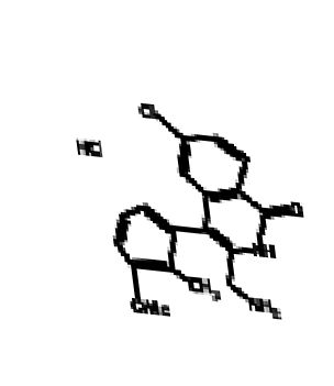 COc1cccc(-c2c(CN)[nH]c(=O)c3ccc(Cl)cc23)c1C.Cl